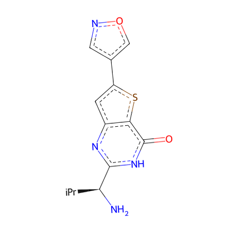 CC(C)[C@H](N)c1nc2cc(-c3cnoc3)sc2c(=O)[nH]1